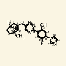 C[C@]12CC[C@H](C[C@@H](Sc3cnc(-c4cc(F)c(-n5ccnc5)cc4O)nn3)C1)N2